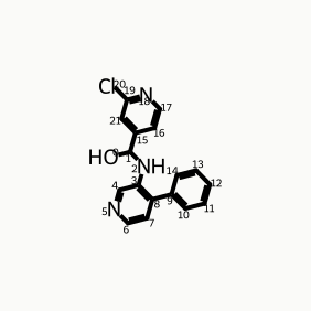 OC(Nc1cnccc1-c1ccccc1)c1ccnc(Cl)c1